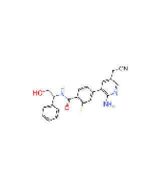 N#CCc1cnc(N)c(-c2ccc(C(=O)NC(CO)c3ccccc3)c(F)c2)c1